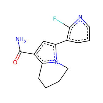 NC(=O)c1cc(-c2cccnc2F)n2c1CCCC2